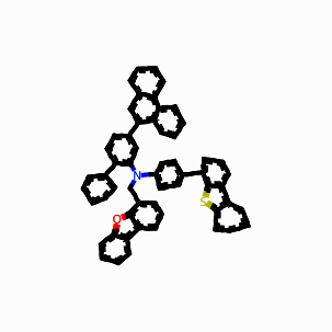 c1ccc(-c2ccc(-c3cc4ccccc4c4ccccc34)cc2N(Cc2cccc3c2oc2ccccc23)c2ccc(-c3cccc4c3sc3ccccc34)cc2)cc1